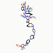 COc1cc(C2CCN(C3CCN(CC4CCN(c5ccc(NC6CCC(=O)NC6=O)cc5)CC4)CC3)CC2)ccc1Nc1ncc(Cl)c(Nc2ccccc2P(C)(C)=O)n1